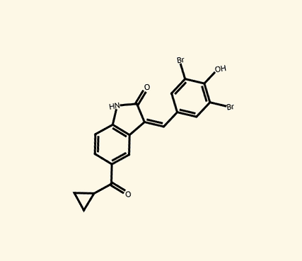 O=C1Nc2ccc(C(=O)C3CC3)cc2C1=Cc1cc(Br)c(O)c(Br)c1